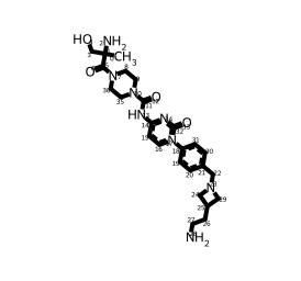 CC(N)(CO)C(=O)N1CCN(C(=O)Nc2ccn(-c3ccc(CN4CC(CCN)C4)cc3)c(=O)n2)CC1